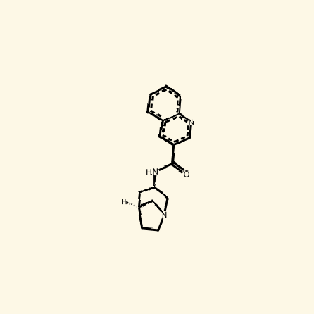 O=C(N[C@@H]1C[C@@H]2CCN(C2)C1)c1cnc2ccccc2c1